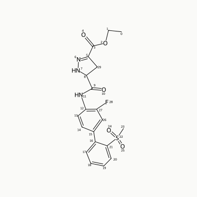 CCOC(=O)C1=NNC(C(=O)Nc2ccc(-c3ccccc3S(C)(=O)=O)cc2F)C1